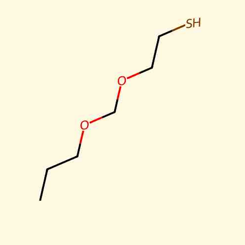 CCCOCOCCS